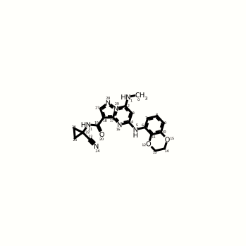 CNc1cc(Nc2cccc3c2OCCO3)nc2c(C(=O)NC3(C#N)CC3)cnn12